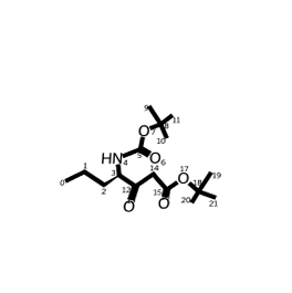 CCC[C@@H](NC(=O)OC(C)(C)C)C(=O)CC(=O)OC(C)(C)C